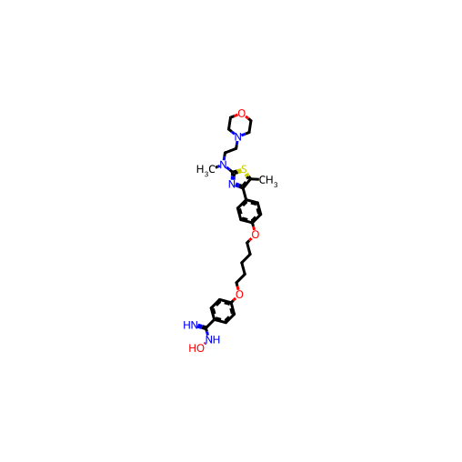 Cc1sc(N(C)CCN2CCOCC2)nc1-c1ccc(OCCCCCOc2ccc(C(=N)NO)cc2)cc1